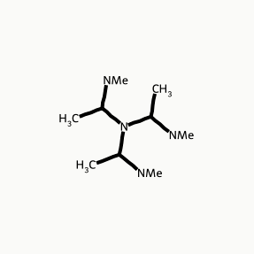 CNC(C)N(C(C)NC)C(C)NC